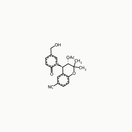 CC(=O)O[C@H]1[C@H](n2cc(CO)ccc2=O)c2cc(C#N)ccc2OC1(C)C